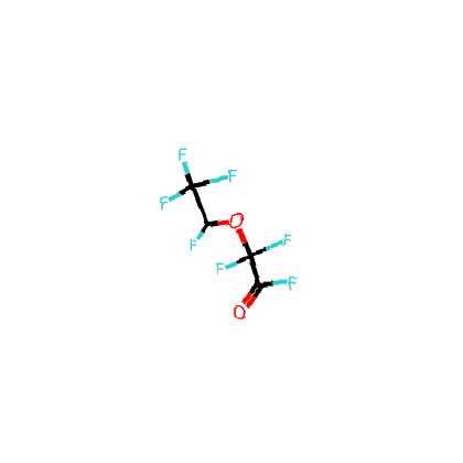 O=C(F)C(F)(F)OC(F)C(F)(F)F